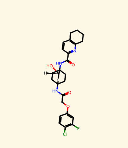 O=C(COc1ccc(Cl)c(F)c1)NC12CCC(NC(=O)c3ccc4c(n3)CCCC4)(CC1)[C@@H](O)C2